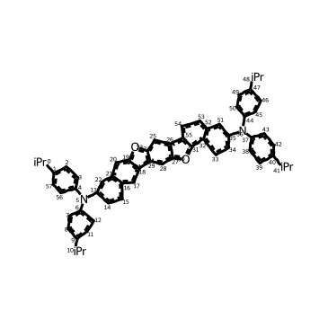 CC(C)c1ccc(N(c2ccc(C(C)C)cc2)c2ccc3cc4c(cc3c2)oc2cc3c(cc24)oc2c4ccc(N(c5ccc(C(C)C)cc5)c5ccc(C(C)C)cc5)cc4ccc32)cc1